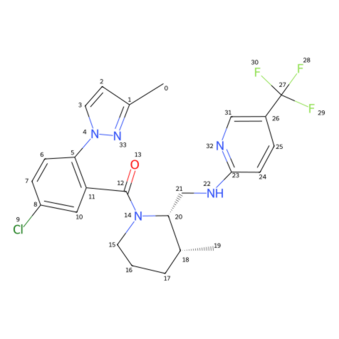 Cc1ccn(-c2ccc(Cl)cc2C(=O)N2CCC[C@@H](C)[C@H]2CNc2ccc(C(F)(F)F)cn2)n1